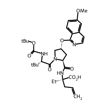 C=CC[C@@](CC)(NC(=O)[C@@H]1C[C@@H](Oc2nccc3cc(OC)ccc23)CN1C(=O)[C@@H](NC(=O)OC(C)(C)C)C(C)(C)C)C(=O)O